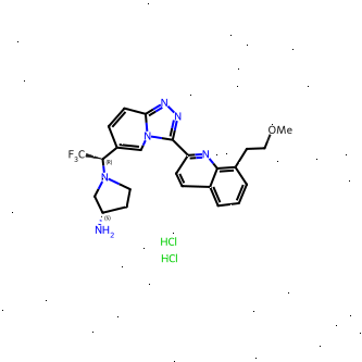 COCCc1cccc2ccc(-c3nnc4ccc([C@@H](N5CC[C@H](N)C5)C(F)(F)F)cn34)nc12.Cl.Cl